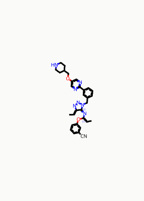 CC=C1N=NN(Cc2cccc(-c3ncc(OCC4CCNCC4)cn3)c2)/C1=N/C(=C\C)Oc1cccc(C#N)c1